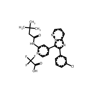 CC(C)(C)CC(=O)Nc1cc(-c2c(-c3cccc(Cl)c3)nc3cccnn23)ccn1.O=C(O)C(F)(F)F